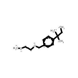 CCC(C)(C)c1ccc(COCCOC)cc1